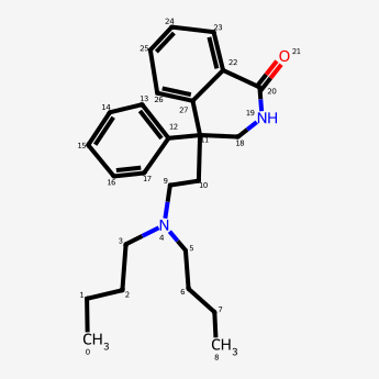 CCCCN(CCCC)CCC1(c2ccccc2)CNC(=O)c2ccccc21